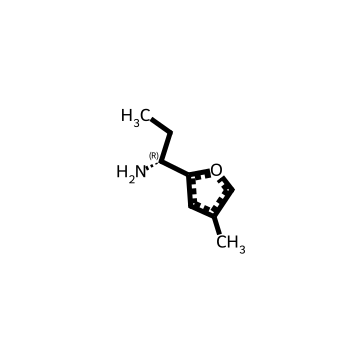 CC[C@@H](N)c1cc(C)co1